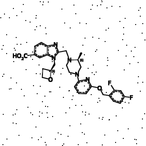 C[C@H]1CN(c2cccc(OCc3ccc(F)cc3F)n2)CCN1Cc1nc2ccc(C(=O)O)cc2n1C[C@@H]1CCO1